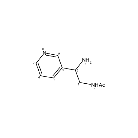 CC(=O)NCC(N)c1cccnc1